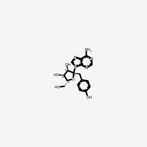 Nc1ncnc2c1ncn2[C@]1(Cc2ccc(O)cc2)O[C@H](CO)[C@@H](O)[C@H]1O